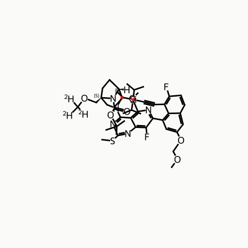 [2H]C([2H])([2H])OC[C@]12CC[C@H](CN(c3nc(SC)nc4c(F)c(-c5cc(OCOC)cc6ccc(F)c(C#C[Si](C(C)C)(C(C)C)C(C)C)c56)nc(OC)c34)C1)N2C(=O)OC(C)(C)C